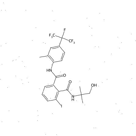 Cc1cc(C(F)(C(F)(F)F)C(F)(F)F)ccc1NC(=O)c1cccc(I)c1C(=O)NC(C)(C)CO